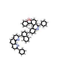 c1ccc(-c2ccc3ccc4ccc(-c5ccc(-c6ccc7nc(-c8ccccc8)c8ccc9oc%10ccccc%10c9c8c7c6)c6ccccc56)nc4c3n2)cc1